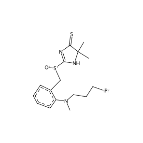 CC(C)CCCN(C)c1ccccc1C[S+]([O-])C1=NC(=S)C(C)(C)N1